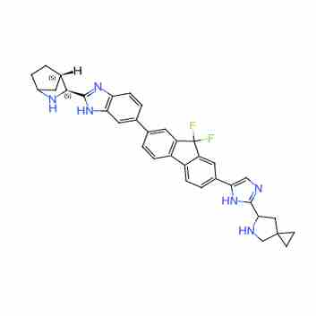 FC1(F)c2cc(-c3ccc4nc([C@H]5NC6CC[C@H]5C6)[nH]c4c3)ccc2-c2ccc(-c3cnc(C4CC5(CC5)CN4)[nH]3)cc21